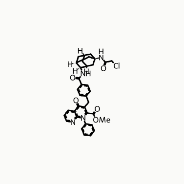 COC(=O)c1c(Cc2ccc(C(=O)N[C@@H]3[C@@H]4C[C@@H]5C[C@H]3C[C@](NC(=O)CCl)(C5)C4)cc2)c(=O)c2cccnc2n1-c1ccccc1